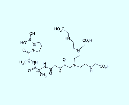 C[C@H](NC(=O)CNC(=O)CN(CCNCC(=O)O)CCN(CCNCC(=O)O)CC(=O)O)C(=O)N[C@H](C)C(=O)N1CCC[C@H]1B(O)O